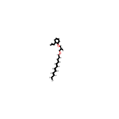 CC=Cc1ccccc1OCC(C)COCCCCCCCCCCCC